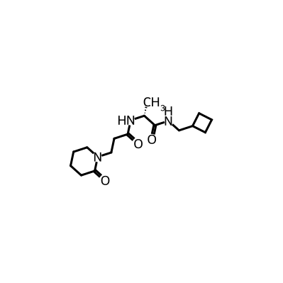 C[C@@H](NC(=O)CCN1CCCCC1=O)C(=O)NCC1CCC1